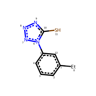 CCc1cccc(-n2nnnc2S)c1